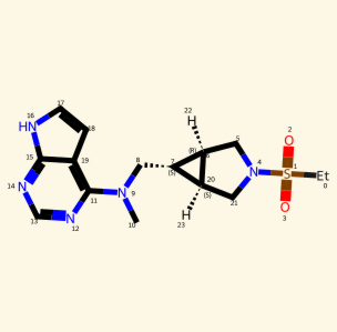 CCS(=O)(=O)N1C[C@@H]2[C@@H](CN(C)c3ncnc4[nH]ccc34)[C@@H]2C1